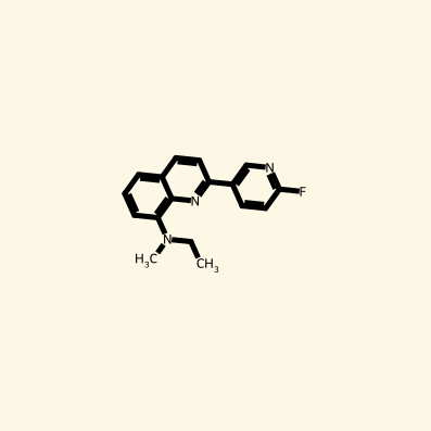 CCN(C)c1cccc2ccc(-c3ccc(F)nc3)nc12